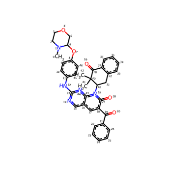 CN1CCOCC1Oc1ccc(Nc2ncc3cc(C(=O)c4ccccc4)c(=O)n(C4Cc5ccccc5C(=O)C4(C)C)c3n2)cc1